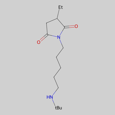 CCC1CC(=O)N(CCCCCNC(C)(C)C)C1=O